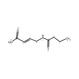 CCCC(=S)NCC=CC(=O)O